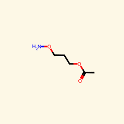 CC(=O)OCCCON